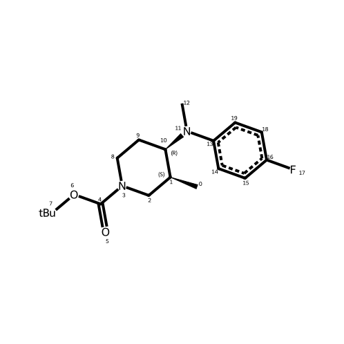 C[C@H]1CN(C(=O)OC(C)(C)C)CC[C@H]1N(C)c1ccc(F)cc1